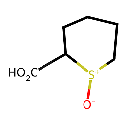 O=C(O)C1CCCC[S+]1[O-]